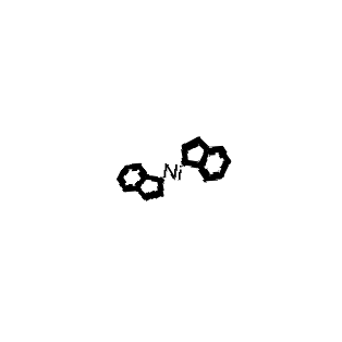 C1=C[CH]([Ni][CH]2C=Cc3ccccc32)c2ccccc21